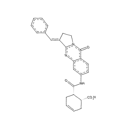 O=C(Nc1ccc2c(=O)n3c(nc2c1)C(=Cc1ccccc1)CC3)[C@H]1CC=CC[C@H]1C(=O)O